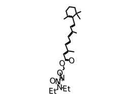 CCN(CC)/[N+]([O-])=N/OCOC(=O)/C=C(C)/C=C/C=C(C)/C=C/C1=C(C)CCCC1(C)C